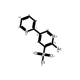 CCS(=O)(=O)c1cc(-c2ccccn2)cnc1C(C)=O